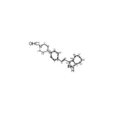 O=CN1CCN(c2ccc(C=Cc3n[nH]c4ccccc34)cc2)CC1